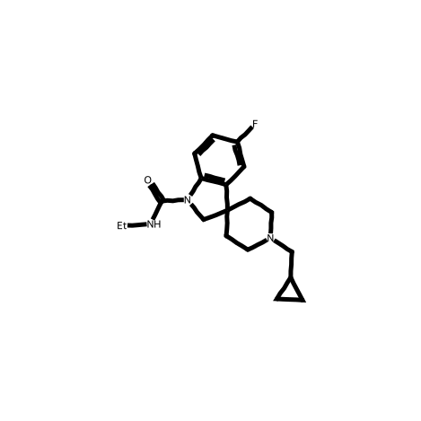 CCNC(=O)N1CC2(CCN(CC3CC3)CC2)c2cc(F)ccc21